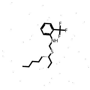 CCCCC[C@@H](CC)SCNc1ccccc1C(F)(F)F